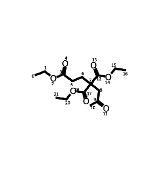 CCOC(=O)CCC(CC(C)=O)(C(=O)OCC)C(=O)OCC